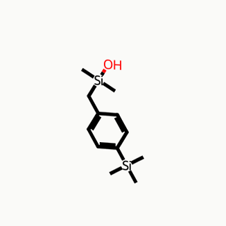 C[Si](C)(O)Cc1ccc([Si](C)(C)C)cc1